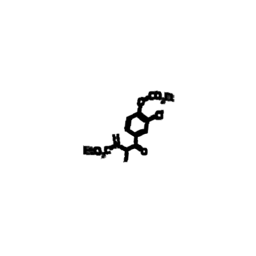 CCOC(=O)NC(C)C(=O)c1ccc(OC(=O)OCC)c(Cl)c1